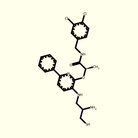 C[C@@H](Oc1nc(-c2ccccc2)ccc1NCC(N)CS)C(=O)NCc1ccc(Cl)c(Cl)c1